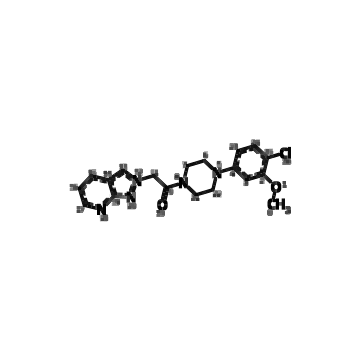 COc1cc(N2CCN(C(=O)Cn3cc4cccnc4n3)CC2)ccc1Cl